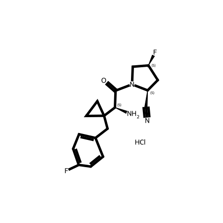 Cl.N#C[C@@H]1C[C@H](F)CN1C(=O)[C@@H](N)C1(Cc2ccc(F)cc2)CC1